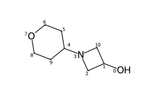 OC1CN(C2CCOCC2)C1